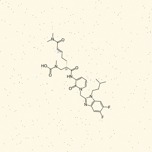 CC(C)CCn1c(Cn2cccc(NC(=O)[C@@H](CC/C=C/C(=O)N(C)C)CN(C)C(=O)O)c2=O)nc2cc(F)c(F)cc21